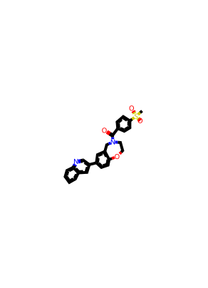 CS(=O)(=O)c1ccc(C(=O)N2CCOc3ccc(-c4cnc5ccccc5c4)cc3C2)cc1